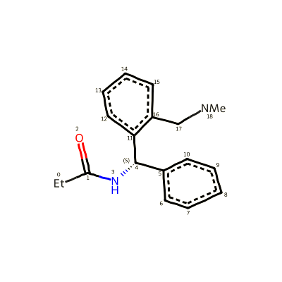 CCC(=O)N[C@@H](c1ccccc1)c1ccccc1CNC